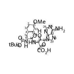 COc1ccc(C[C@H](NC(=O)OC(C)(C)C)C(=O)N[C@H]2[C@@H](O)[C@H](n3cnc4c(N)ncnc43)O[C@@H]2C(=O)O)cc1